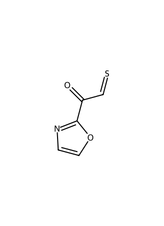 O=C(C=S)c1ncco1